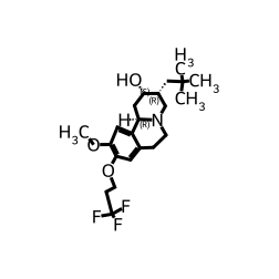 COc1cc2c(cc1OCCC(F)(F)F)CCN1C[C@@H](CC(C)(C)C)[C@@H](O)C[C@H]21